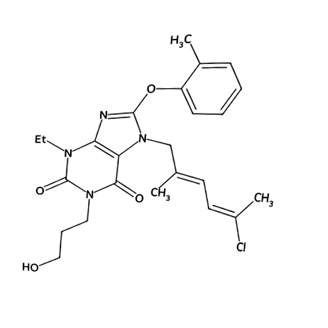 CCn1c(=O)n(CCCO)c(=O)c2c1nc(Oc1ccccc1C)n2C/C(C)=C/C=C(\C)Cl